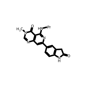 CC(C)Nc1nc(-c2ccc3c(c2)CC(=O)N3)cc2ncn(C)c(=O)c12